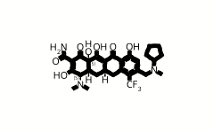 CN(Cc1cc(O)c2c(c1C(F)(F)F)C[C@H]1C[C@H]3[C@H](N(C)C)C(O)=C(C(N)=O)C(=O)[C@@]3(O)C(O)=C1C2=O)C1CCCC1